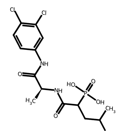 CC(C)CC(C(=O)N[C@@H](C)C(=O)Nc1ccc(Cl)c(Cl)c1)P(=O)(O)O